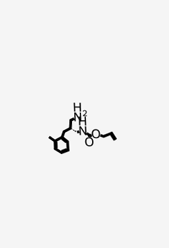 C=CCOC(=O)NC[C@@H](CN)Cc1ccccc1C